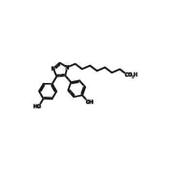 O=C(O)CCCCCCCn1cnc(-c2ccc(O)cc2)c1-c1ccc(O)cc1